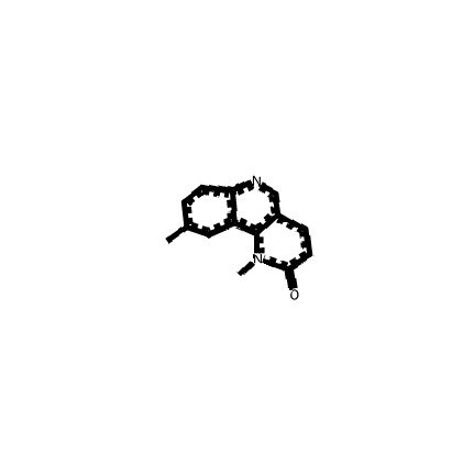 Cc1ccc2ncc3ccc(=O)n(C)c3c2c1